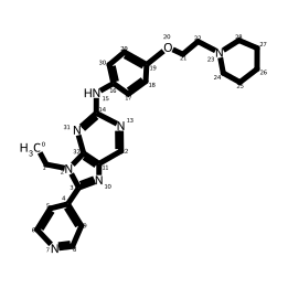 CCn1c(-c2ccncc2)nc2cnc(Nc3ccc(OCCN4CCCCC4)cc3)nc21